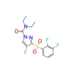 CCN(CC)C(=O)n1cc(F)c(S(=O)(=O)c2cccc(F)c2F)n1